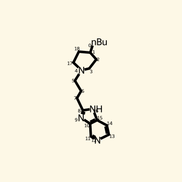 CCCCC1CCN(CCCc2nc3cnccc3[nH]2)CC1